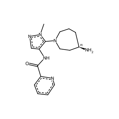 Cn1ncc(NC(=O)c2ccccn2)c1N1CCC[C@@H](N)CC1